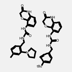 CC(C)(C)c1ccc(CNC(=O)Nc2cccc3c2OCC(=O)N3)cc1.Cc1ccc(CNC(=O)Nc2cccc3c2OCC(=O)N3)c(N2CCCC2)c1